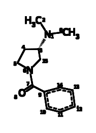 CN(C)[C@H]1CCN(C(=O)c2cc[c]cc2)C1